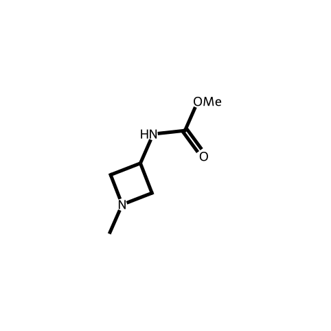 COC(=O)NC1CN(C)C1